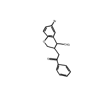 O=CC1c2cc(Br)ccc2OCC1CC(=O)c1ccccc1